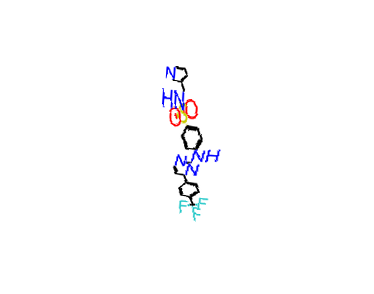 O=S(=O)(NCc1cccnc1)c1ccc(Nc2nccc(-c3ccc(C(F)(F)F)cc3)n2)cc1